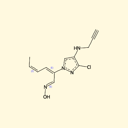 C#CCNc1cn(C(/C=N/O)=C/C=C\C)nc1Cl